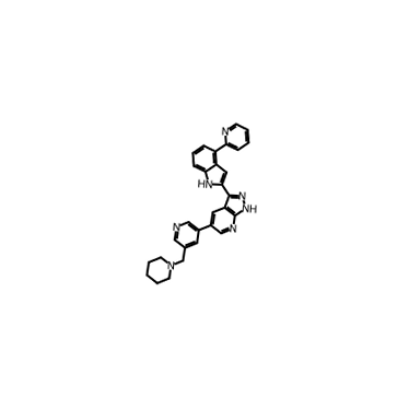 c1ccc(-c2cccc3[nH]c(-c4n[nH]c5ncc(-c6cncc(CN7CCCCC7)c6)cc45)cc23)nc1